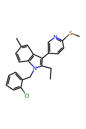 CCc1c(-c2ccc(SC)nc2)c2cc(C)ccc2n1Cc1ccccc1Cl